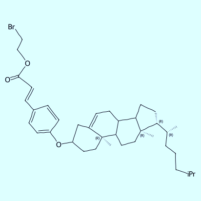 CC(C)CCC[C@@H](C)[C@H]1CCC2C3CC=C4CC(Oc5ccc(C=CC(=O)OCCBr)cc5)CC[C@]4(C)C3CC[C@@]21C